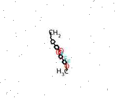 C=CCCC1CCC(c2ccc(C(=O)Oc3ccc(-c4ccc(OCCC)c(F)c4F)cc3F)cc2)CC1